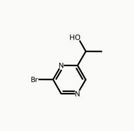 CC(O)c1cncc(Br)n1